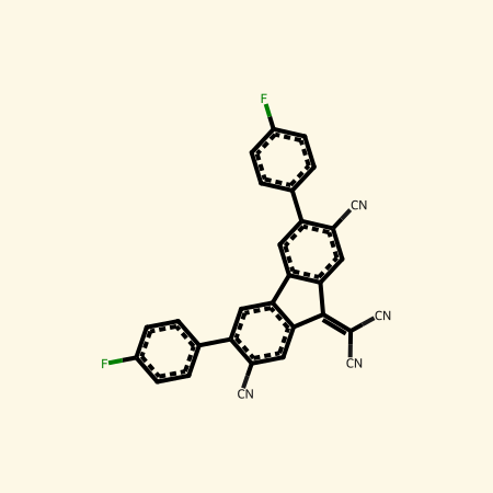 N#CC(C#N)=C1c2cc(C#N)c(-c3ccc(F)cc3)cc2-c2cc(-c3ccc(F)cc3)c(C#N)cc21